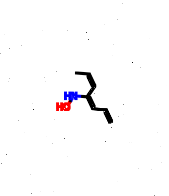 C=C/C=C(\C=C/C)NO